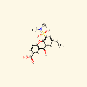 CCc1cc(S(=O)(=O)N(C)C)c2oc3ccc(C(=O)O)cc3c(=O)c2c1